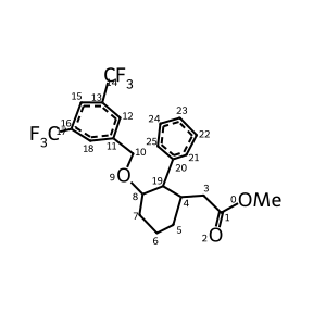 COC(=O)CC1CCCC(OCc2cc(C(F)(F)F)cc(C(F)(F)F)c2)C1c1ccccc1